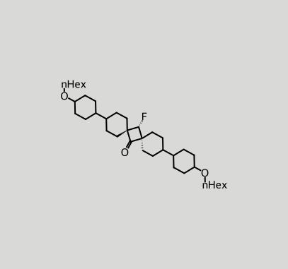 CCCCCCOC1CCC(C2CC[C@]3(CC2)C(=O)[C@@]2(CCC(C4CCC(OCCCCCC)CC4)CC2)[C@H]3F)CC1